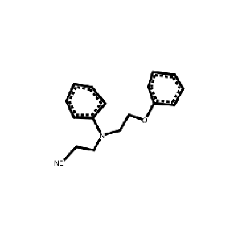 N#CCCN(CCOc1ccccc1)c1ccccc1